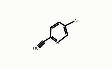 C#Cc1ccc(C(C)=O)cn1